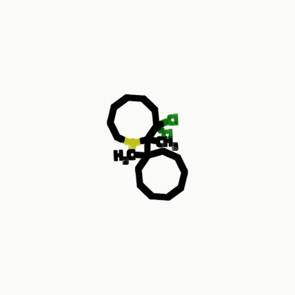 CC1(C2(C)SCCCCCCC2(Cl)Cl)CCCCCCCC1